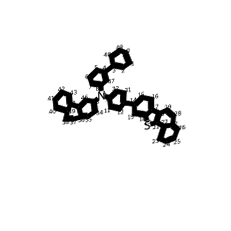 c1ccc(-c2cccc(N(c3ccc(-c4ccc5c(c4)sc4c6ccccc6ccc54)cc3)c3ccc4ccc5ccccc5c4c3)c2)cc1